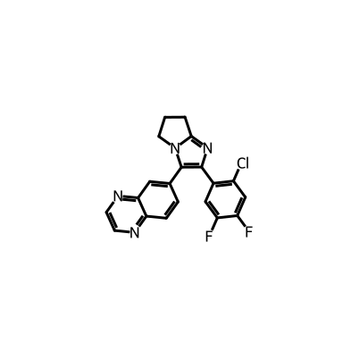 Fc1cc(Cl)c(-c2nc3n(c2-c2ccc4nccnc4c2)CCC3)cc1F